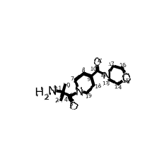 CC(C)(N)C(=O)N1CCC(C(=O)N2CCOCC2)CC1